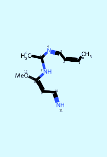 C/C=C\C=N/C(C)N/C(=C\C=N)OC